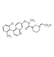 Cc1cccc(Cl)c1-c1ccnc2cc(O[C@H](C)C(=O)N3CCC[C@H](CC(=O)O)C3)ccc12